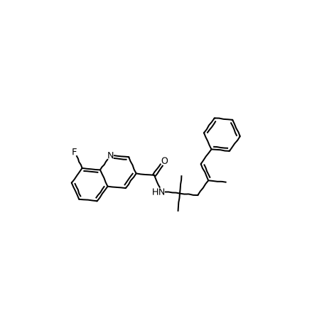 CC(=Cc1ccccc1)CC(C)(C)NC(=O)c1cnc2c(F)cccc2c1